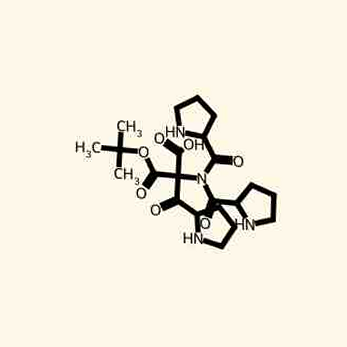 CC(C)(C)OC(=O)C(C(=O)O)(C(=O)C1CCCN1)N(C(=O)C1CCCN1)C(=O)C1CCCN1